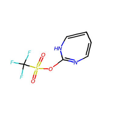 O=S(=O)(OC1=NC=CC=CN1)C(F)(F)F